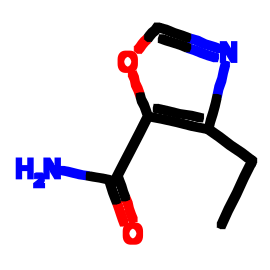 CCc1ncoc1C(N)=O